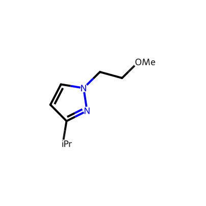 COCCn1ccc(C(C)C)n1